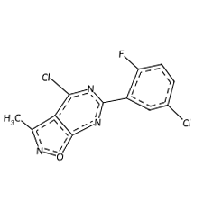 Cc1noc2nc(-c3cc(Cl)ccc3F)nc(Cl)c12